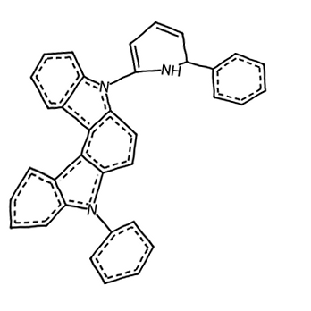 C1=CC(c2ccccc2)NC(n2c3ccccc3c3c4c5ccccc5n(-c5ccccc5)c4ccc32)=C1